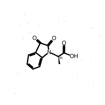 C[C@H](C(=O)O)N1C(=O)C(=O)c2ccccc21